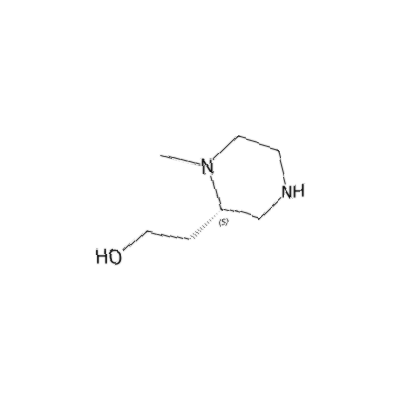 CN1CCNC[C@@H]1CCO